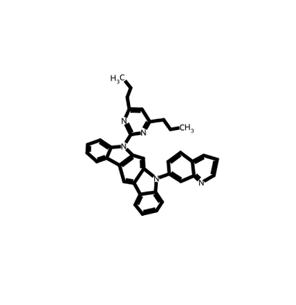 CCCc1cc(CCC)nc(-n2c3ccccc3c3cc4c5ccccc5n(-c5ccc6cccnc6c5)c4cc32)n1